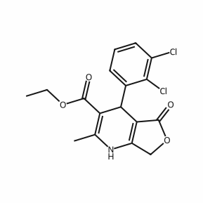 CCOC(=O)C1=C(C)NC2=C(C(=O)OC2)C1c1cccc(Cl)c1Cl